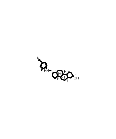 Cc1cc(C#N)ccc1NC[C@H]1CC[C@H]2[C@@H]3CC[C@@H]4C[C@](C)(O)CC[C@@H]4[C@H]3CC[C@]12C